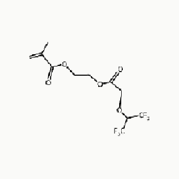 C=C(C)C(=O)OCCOC(=O)COC(C(F)(F)F)C(F)(F)F